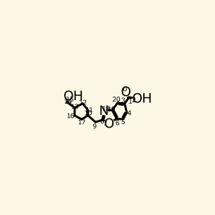 O=C(O)c1ccc2oc(CC3CCC(CO)CC3)nc2c1